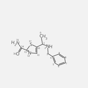 CC(NCc1ccccc1)c1cnc(C(N)=O)s1